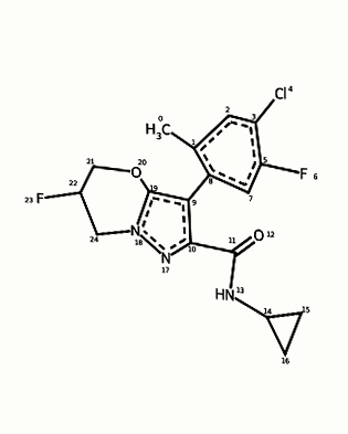 Cc1cc(Cl)c(F)cc1-c1c(C(=O)NC2CC2)nn2c1OCC(F)C2